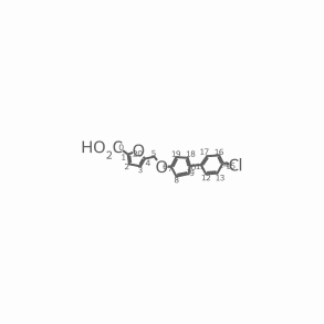 O=C(O)c1ccc(COc2ccc(-c3ccc(Cl)cc3)cc2)o1